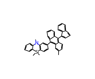 Cc1ccc2c(-c3cccc4ccccc34)c3ccccc3c(-c3ccc4c(c3)N(C)c3ccccc3[Si]4(C)C)c2c1